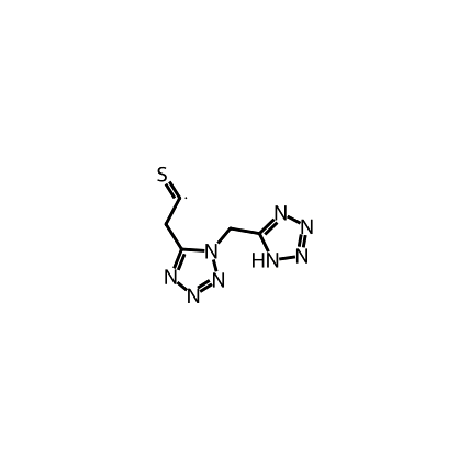 S=[C]Cc1nnnn1Cc1nnn[nH]1